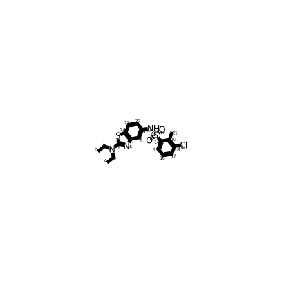 CCN(CC)c1nc2cc(NS(=O)(=O)c3cccc(Cl)c3C)ccc2s1